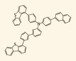 c1cc(-c2cccc(N(c3ccc(-c4ccc5ccccc5c4)cc3)c3ccc(-c4cccc5sc6ccccc6c45)cc3)c2)cc(-c2cccc3c2sc2ccccc23)c1